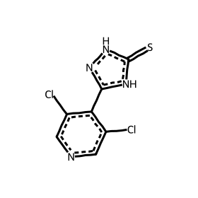 S=c1[nH]nc(-c2c(Cl)cncc2Cl)[nH]1